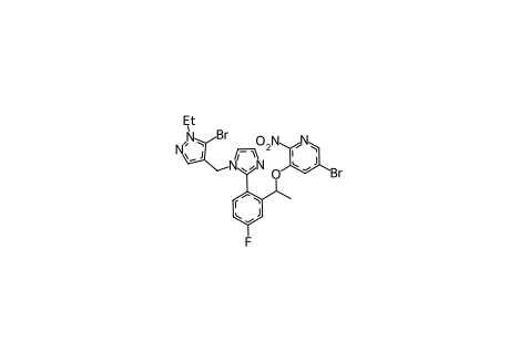 CCn1ncc(Cn2ccnc2-c2ccc(F)cc2C(C)Oc2cc(Br)cnc2[N+](=O)[O-])c1Br